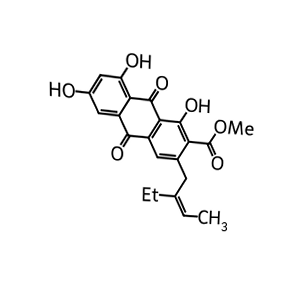 C/C=C(/CC)Cc1cc2c(c(O)c1C(=O)OC)C(=O)c1c(O)cc(O)cc1C2=O